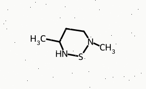 CC1CCN(C)SN1